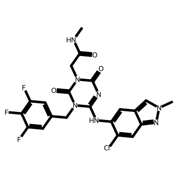 CNC(=O)Cn1c(=O)nc(Nc2cc3cn(C)nc3cc2Cl)n(Cc2cc(F)c(F)c(F)c2)c1=O